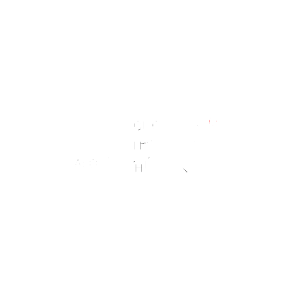 CC(=O)O[C@@]1(C)CC[C@H]2[C@@H]3C[C@H](C)C4=C(C)C(=O)CC[C@]4(C=O)[C@H]3CC[C@@]21C